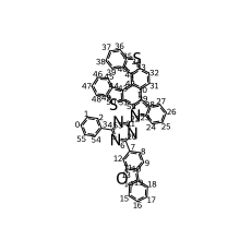 c1ccc(-c2nc(-c3ccc4c(c3)oc3ccccc34)nc(-n3c4ccccc4c4c5ccc6sc7ccccc7c6c5c5c6ccccc6sc5c43)n2)cc1